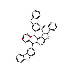 c1ccc(C(c2ccc3oc4ccccc4c3c2)c2ccc3oc4c5ccccc5ccc4c3c2N(c2ccccc2)c2ccc3c(c2)oc2ccccc23)cc1